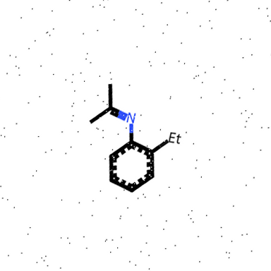 CCc1ccccc1N=C(C)C